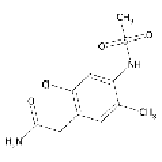 Cc1cc(CC(N)=O)c(Cl)cc1NS(C)(=O)=O